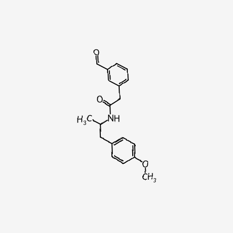 COc1ccc(CC(C)NC(=O)Cc2cccc(C=O)c2)cc1